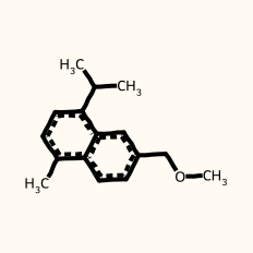 COCc1ccc2c(C)ccc(C(C)C)c2c1